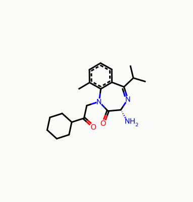 Cc1cccc2c1N(CC(=O)C1CCCCC1)C(=O)[C@@H](N)N=C2C(C)C